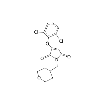 O=C1C=C(Oc2c(Cl)cccc2Cl)C(=O)N1CC1CCOCC1